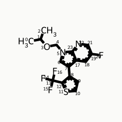 CC(C)OCn1cc(-c2ccsc2C(F)(F)F)c2cc(F)cnc21